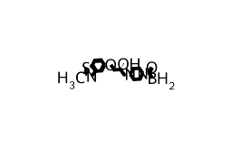 BC(=O)N1CCN(C[C@@H](O)COc2ccc3sc(C)nc3c2)CC1